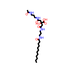 CCCCCCCCCCCC(=O)NCCCNC(=O)CC(O)(CC(=O)NCCCNC(C)=O)C(=O)O